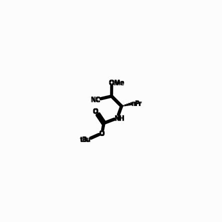 CCC[C@H](NC(=O)OC(C)(C)C)C(C#N)OC